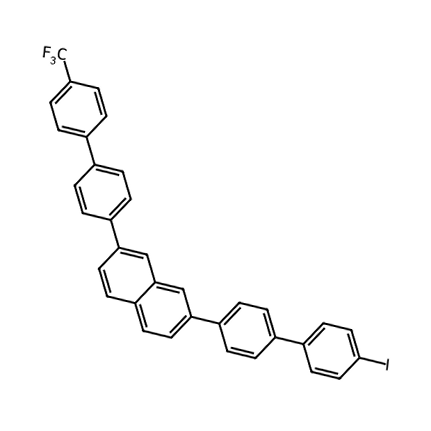 FC(F)(F)c1ccc(-c2ccc(-c3ccc4ccc(-c5ccc(-c6ccc(I)cc6)cc5)cc4c3)cc2)cc1